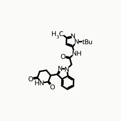 Cc1cc(NC(=O)Cn2nc(C3CCC(=O)NC3=O)c3ccccc32)n(C(C)(C)C)n1